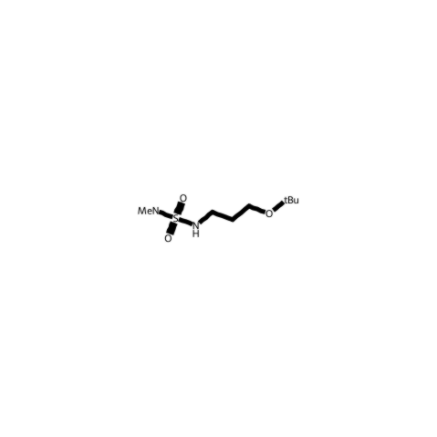 CNS(=O)(=O)NCCCOC(C)(C)C